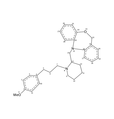 COc1ccc(CCCN2CCCCC2CN2c3ccccc3COc3ccccc32)cc1